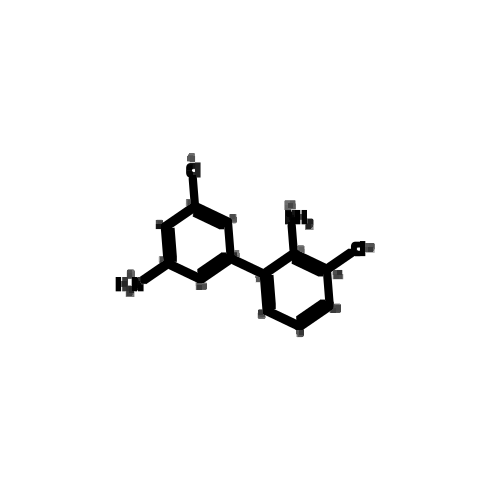 Nc1cc(Cl)cc(-c2cccc(Cl)c2N)c1